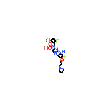 O=C(O)N(Cc1cc(Cl)ccc1F)c1ccnc(Nc2ccc(OCCCN3CCCCC3)c(F)c2)n1